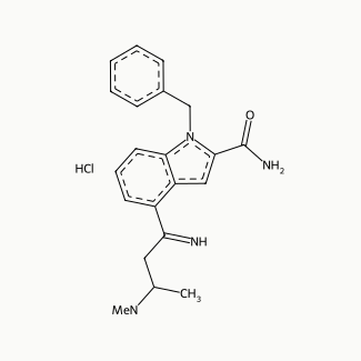 CNC(C)CC(=N)c1cccc2c1cc(C(N)=O)n2Cc1ccccc1.Cl